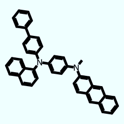 CN(c1ccc(N(c2ccc(-c3ccccc3)cc2)c2cccc3ccccc23)cc1)c1ccc2cc3ccccc3cc2c1